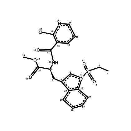 CCS(=O)(=O)n1cc(C[C@H](NC(=O)c2cccnc2Cl)C(=O)OC)c2ccccc21